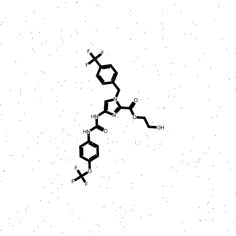 O=C(Nc1ccc(OC(F)(F)F)cc1)Nc1cn(Cc2ccc(C(F)(F)F)cc2)c(C(=O)OCCO)n1